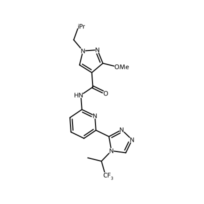 COc1nn(CC(C)C)cc1C(=O)Nc1cccc(-c2nncn2C(C)C(F)(F)F)n1